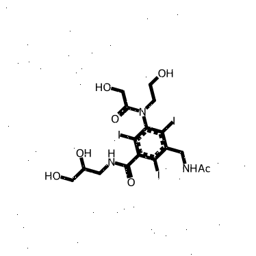 CC(=O)NCc1c(I)c(C(=O)NCC(O)CO)c(I)c(N(CCO)C(=O)CO)c1I